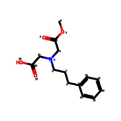 COC(=O)CN(CCCc1ccccc1)CC(=O)O